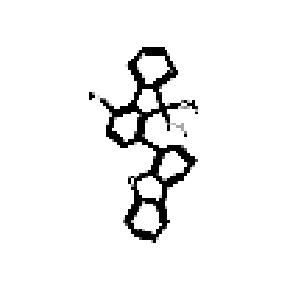 CC1(C)c2ccccc2-c2c(Br)ccc(-c3cccc4c3oc3ccccc34)c21